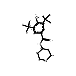 CC(C)(C)c1cc(C(=O)OC2CCSCC2)cc(C(C)(C)C)c1O